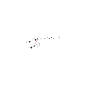 CCCCCCCC(=O)OC(F)(F)C(F)(F)C(F)(F)[Si](OC(F)(F)F)(OC(F)(F)F)OC(F)(F)F